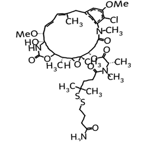 COc1cc2cc(c1Cl)N(C)C(=O)C[C@H](OC(=O)[C@H](C)N(C)C(=O)CCC(C)(C)SSCCCC(N)=O)[C@]1(C)O[C@H]1[C@H](C)C1C[C@@](O)(NC(=O)O1)[C@H](OC)/C=C/C=C(\C)C2